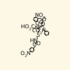 O=C(Cc1ccccc1[N+](=O)[O-])OO[C@H](CCc1ccccc1)[C@H]1C(=O)N(C(C(=O)O)C(=O)O)[C@@H]1C=CSCCNC(=O)OCc1ccc([N+](=O)[O-])cc1